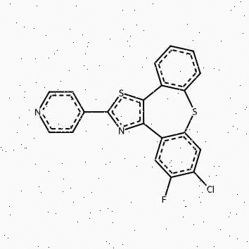 Fc1cc2c(cc1Cl)Sc1ccccc1-c1sc(-c3ccncc3)nc1-2